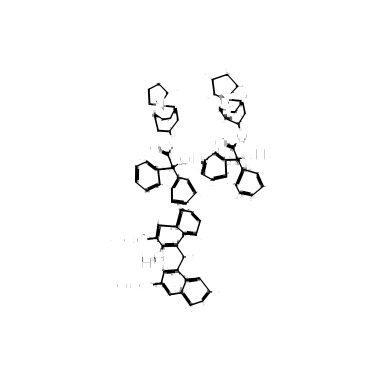 O=C(OC1CC2CCC(C1)[N+]21CCCC1)C(O)(c1ccccc1)c1ccccc1.O=C(OC1CC2CCC(C1)[N+]21CCCC1)C(O)(c1ccccc1)c1ccccc1.O=C([O-])c1cc2ccccc2c(Cc2c(O)c(C(=O)[O-])cc3ccccc23)c1O